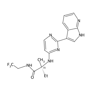 CC[C@](C)(Nc1ccnc(-c2c[nH]c3ncccc23)n1)C(=O)NCC(F)(F)F